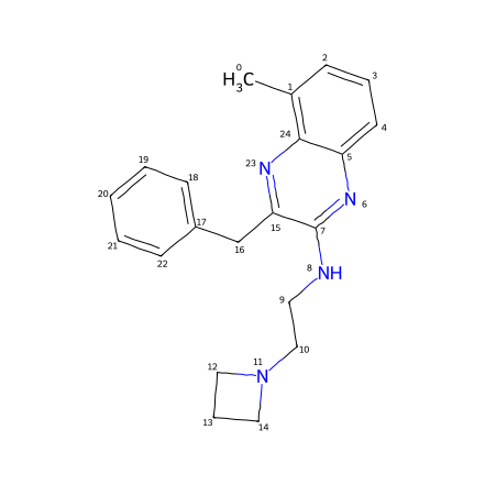 Cc1cccc2nc(NCCN3CCC3)c(Cc3ccccc3)nc12